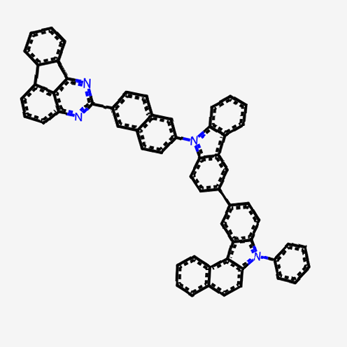 c1ccc(-n2c3ccc(-c4ccc5c(c4)c4ccccc4n5-c4ccc5cc(-c6nc7c8c(cccc8n6)-c6ccccc6-7)ccc5c4)cc3c3c4ccccc4ccc32)cc1